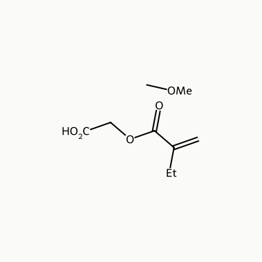 C=C(CC)C(=O)OCC(=O)O.COC